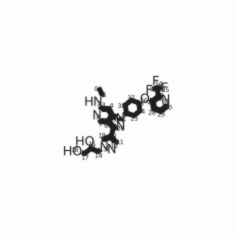 CCNc1cc2c(cn1)c(-c1cnn(C[C@H](O)CO)c1)nn2C1CCC(Oc2cccnc2C(F)(F)F)CC1